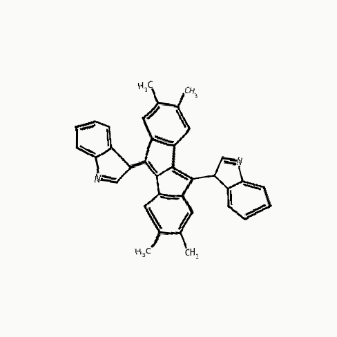 Cc1cc2c(cc1C)C(C1C=Nc3ccccc31)=C1C2=C(C2C=Nc3ccccc32)c2cc(C)c(C)cc21